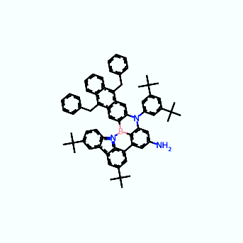 CC(C)(C)c1cc(N2c3cc4c(Cc5ccccc5)c5ccccc5c(Cc5ccccc5)c4cc3B3c4c(cc(N)cc42)-c2cc(C(C)(C)C)cc4c5cc(C(C)(C)C)ccc5n3c24)cc(C(C)(C)C)c1